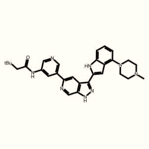 CN1CCN(c2cccc3[nH]c(-c4n[nH]c5cnc(-c6cncc(NC(=O)CC(C)(C)C)c6)cc45)cc23)CC1